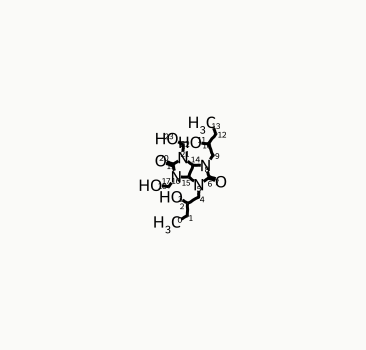 CCC(O)CN1C(=O)N(CC(O)CC)C2C1N(CO)C(=O)N2CO